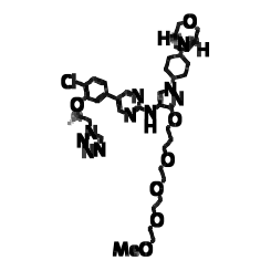 COCCOCCOCCOCCCOc1nn(C2CCC(N3[C@@H]4CC[C@H]3COC4)CC2)cc1Nc1ncc(-c2ccc(Cl)c(O[C@@H](C)Cn3cnnn3)c2)cn1